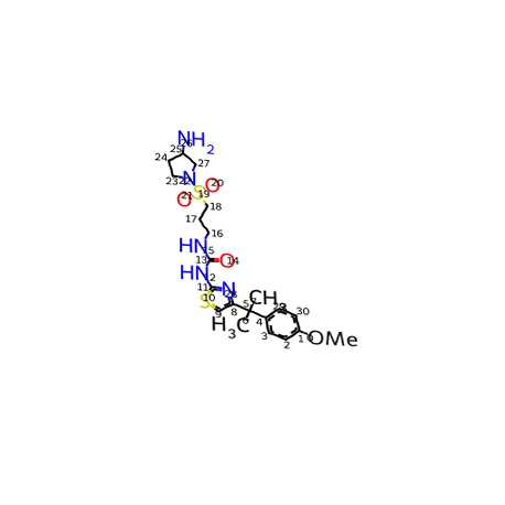 COc1ccc(C(C)(C)c2csc(NC(=O)NCCCS(=O)(=O)N3CCC(N)C3)n2)cc1